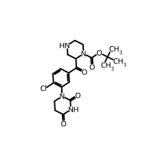 CC(C)(C)OC(=O)N1CCNCC1C(=O)c1ccc(Cl)c(N2CCC(=O)NC2=O)c1